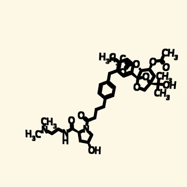 CC(=O)O[C@H]1C[C@]2(C(C)(C)O)CO[C@@](c3ccc(C)c(Cc4ccc(CCCC(=O)N5C[C@@H](O)C[C@H]5C(=O)NCCN(C)C)cc4)c3)(O2)[C@@H]1OC(C)=O